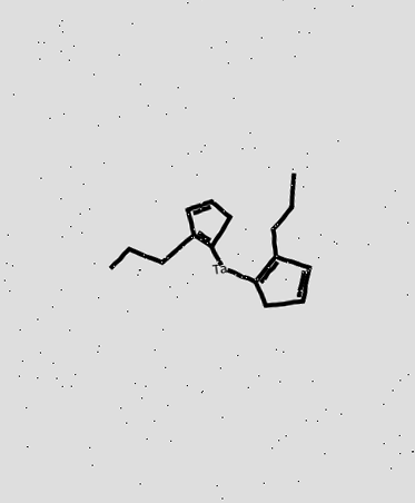 CCCC1=[C]([Ta][C]2=C(CCC)C=CC2)CC=C1